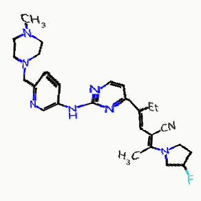 CC/C(=C\C(C#N)=C(/C)N1CCC(F)C1)c1ccnc(Nc2ccc(CN3CCN(C)CC3)nc2)n1